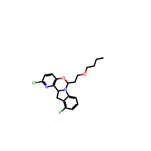 CCCCOCCC1Oc2ccc(Cl)nc2C2Cc3c(F)cccc3N12